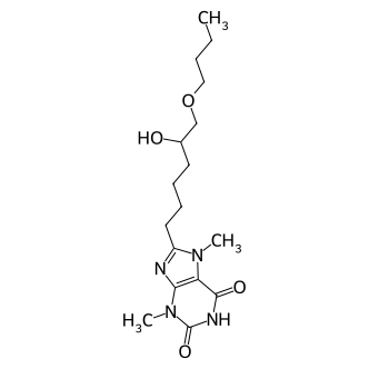 CCCCOCC(O)CCCCc1nc2c(c(=O)[nH]c(=O)n2C)n1C